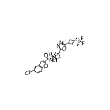 O=C(N[C@@H]1CC2(c3nnc(C4CC(OC(F)(F)F)C4)o3)CC1C2)[C@@H]1Cc2cc(Cl)ccc2O1